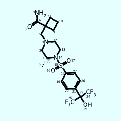 C[C@@H]1CN(CC2(C(N)=O)CCC2)CCN1S(=O)(=O)c1ccc(C(O)(C(F)(F)F)C(F)(F)F)cc1